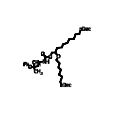 CCCCCCCCCCCCCCCCCCC(COC(=O)NCCC(C)(C)OC(C)C)OCCCCCCCCCCCCCCCCC